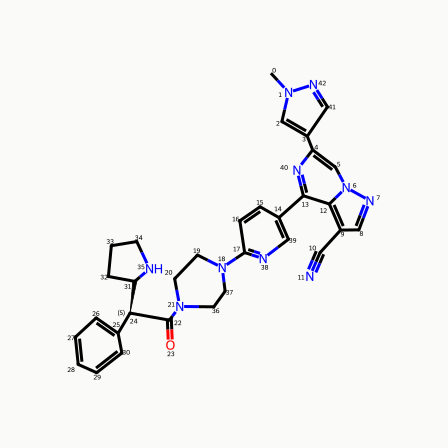 Cn1cc(-c2cn3ncc(C#N)c3c(-c3ccc(N4CCN(C(=O)[C@@H](c5ccccc5)C5CCCN5)CC4)nc3)n2)cn1